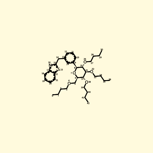 CCCCOC[C@H]1O[C@@H](c2cccc(Cc3nc4ccccc4s3)c2)[C@H](OCCCC)[C@@H](OCCCC)[C@@H]1OCCCC